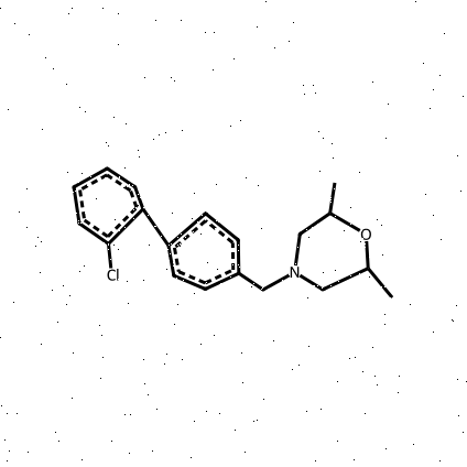 CC1CN(Cc2ccc(-c3ccccc3Cl)cc2)CC(C)O1